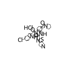 CN1CCc2nc(C(=O)N[C@@H]3C[C@H](C(=O)N4CCCCC4)CC[C@@H]3NC(=O)c3cc4cc(Cl)ccc4[nH]3)sc2C1.Cl